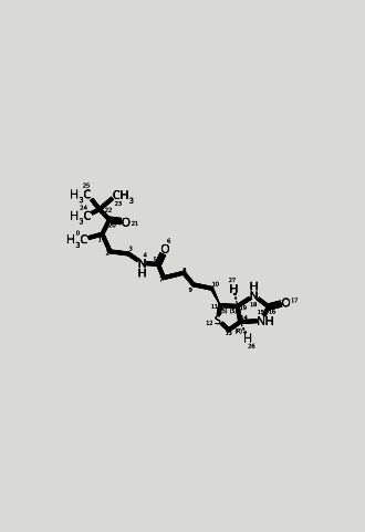 CC(CCNC(=O)CCCC[C@@H]1SC[C@@H]2NC(=O)N[C@@H]21)C(=O)C(C)(C)C